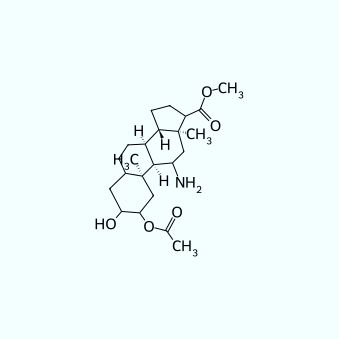 COC(=O)C1CC[C@H]2[C@@H]3CCC4CC(O)C(OC(C)=O)C[C@]4(C)[C@@H]3C(N)C[C@]12C